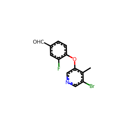 Cc1c(Br)cncc1Oc1ccc(C=O)cc1F